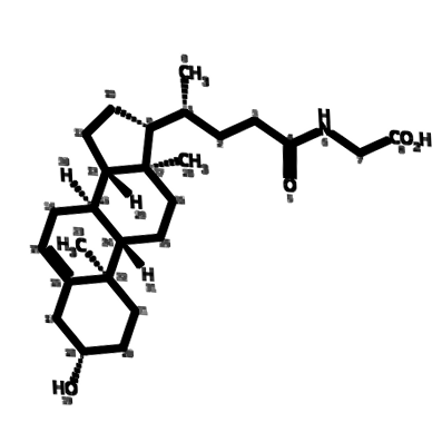 C[C@H](CCC(=O)NCC(=O)O)[C@H]1CC[C@H]2[C@@H]3CC=C4C[C@@H](O)CC[C@]4(C)[C@H]3CC[C@]12C